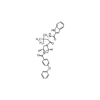 CC(C)(C)[C@H](NC(=O)c1cc2ccccc2[nH]1)C(=O)N1C[C@@H]2C[C@H]1CN2C(=O)c1ccc(Oc2ccccc2)cc1